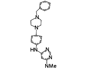 CNc1cc(Nc2ccc(N3CCN(Cc4ccccc4)CC3)cc2)ncn1